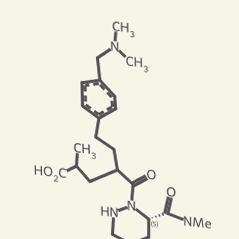 CNC(=O)[C@@H]1CCCNN1C(=O)C(CCc1ccc(CN(C)C)cc1)CC(C)C(=O)O